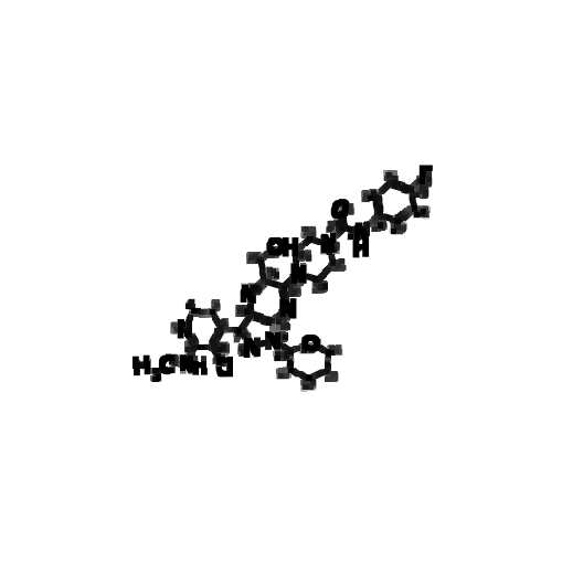 CNc1nccc(-c2nn(C3CCCCO3)c3nc(N4CCN(C(=O)Nc5ccc(F)cc5)CC4)c(CO)nc23)c1Cl